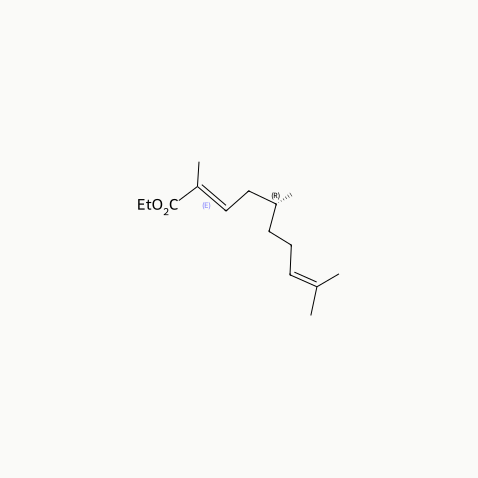 CCOC(=O)/C(C)=C/C[C@H](C)CCC=C(C)C